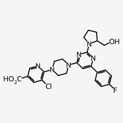 O=C(O)c1cnc(N2CCN(c3cc(-c4ccc(F)cc4)nc(N4CCCC4CO)n3)CC2)c(Cl)c1